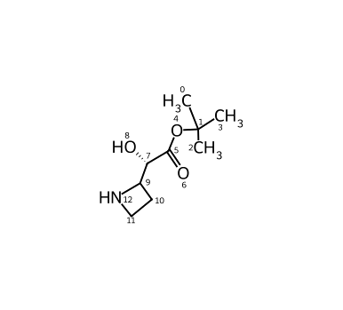 CC(C)(C)OC(=O)[C@@H](O)C1CCN1